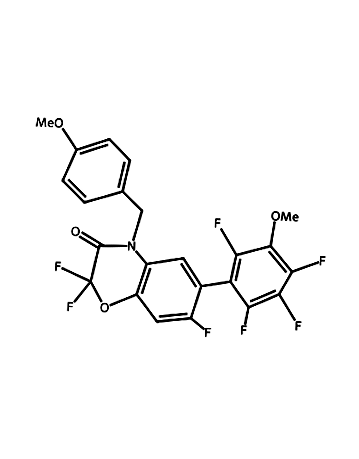 COc1ccc(CN2C(=O)C(F)(F)Oc3cc(F)c(-c4c(F)c(F)c(F)c(OC)c4F)cc32)cc1